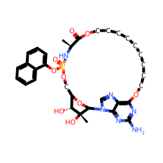 C[C@@H]1NP(=O)(Oc2cccc3ccccc23)OCC2OC(n3cnc4c(nc(N)nc43)OCCCCCCCCCOC1=O)[C@](C)(O)[C@@H]2O